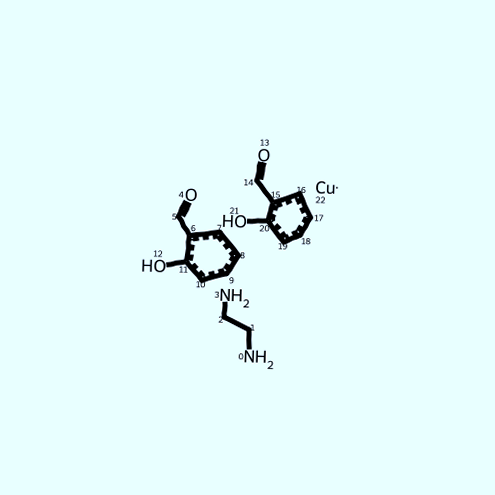 NCCN.O=Cc1ccccc1O.O=Cc1ccccc1O.[Cu]